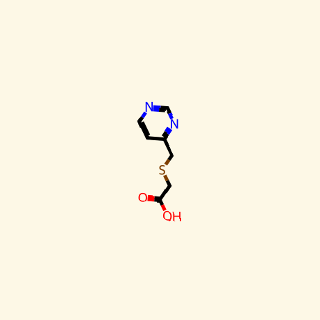 O=C(O)CSCc1ccncn1